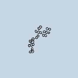 c1ccc2cc(-c3c4ccccc4c(-c4ccc5ccc(-c6ccc7c(c6)oc6c(-c8c9ccccc9c(-c9ccc%10oc%11ccccc%11c%10c9)c9ccccc89)cccc67)cc5c4)c4cc(-c5ccc6cccc(-c7c8ccccc8c(-c8cccc9ccccc89)c8ccccc78)c6c5)ccc34)ccc2c1